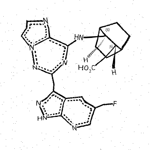 O=C(O)[C@H]1C2CCC(CC2)[C@@H]1Nc1nc(-c2n[nH]c3ncc(F)cc23)nn2ccnc12